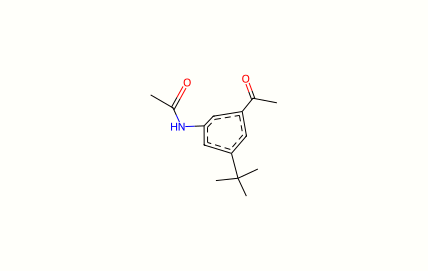 CC(=O)Nc1cc(C(C)=O)cc(C(C)(C)C)c1